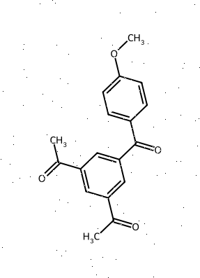 COc1ccc(C(=O)c2cc(C(C)=O)cc(C(C)=O)c2)cc1